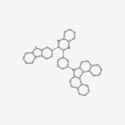 c1cc(-c2nc3ccccc3nc2-c2ccc3c(c2)sc2ccccc23)cc(-n2c3ccc4ccccc4c3c3c4ccccc4ccc32)c1